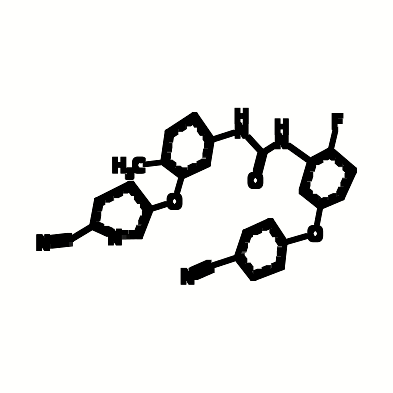 Cc1ccc(NC(=O)Nc2cc(Oc3ccc(C#N)cc3)ccc2F)cc1Oc1ccc(C#N)nc1